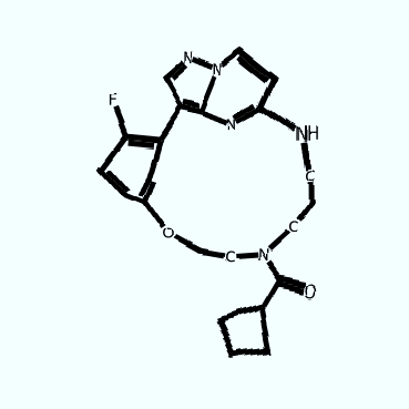 O=C(C1CCC1)N1CCCNc2ccn3ncc(c3n2)-c2cc(ccc2F)OCC1